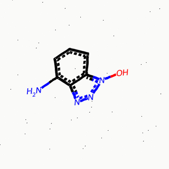 Nc1cccc2c1nnn2O